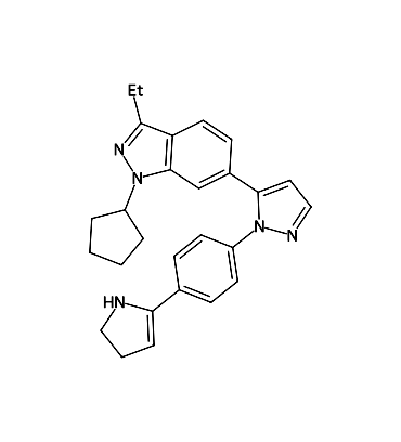 CCc1nn(C2CCCC2)c2cc(-c3ccnn3-c3ccc(C4=CCCN4)cc3)ccc12